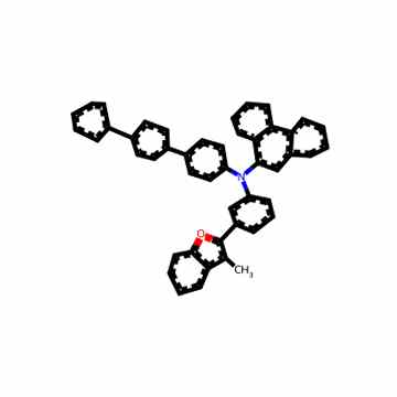 Cc1c(-c2cccc(N(c3ccc(-c4ccc(-c5ccccc5)cc4)cc3)c3cc4ccccc4c4ccccc34)c2)oc2ccccc12